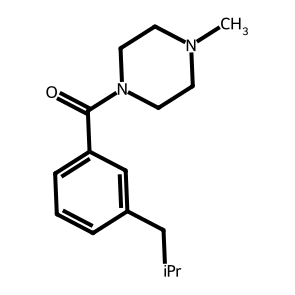 CC(C)Cc1cccc(C(=O)N2CCN(C)CC2)c1